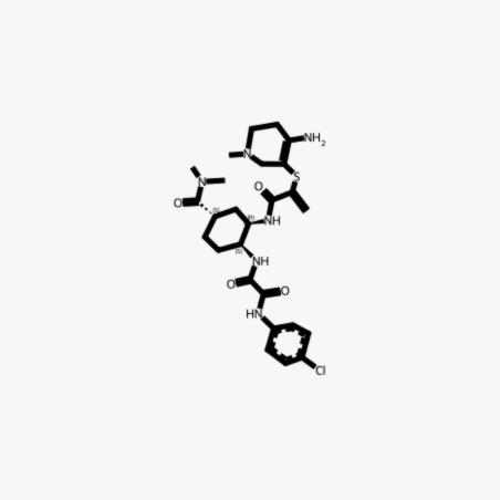 C=C(SC1=C(N)CCN(C)C1)C(=O)N[C@@H]1C[C@@H](C(=O)N(C)C)CC[C@@H]1NC(=O)C(=O)Nc1ccc(Cl)cc1